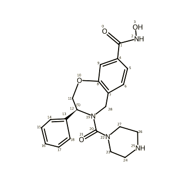 O=C(NO)c1ccc2c(c1)OC[C@H](c1ccccc1)N(C(=O)N1CCNCC1)C2